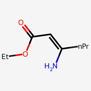 CCCC(N)=CC(=O)OCC